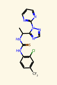 CC(NC(=S)Nc1ccc(C(F)(F)F)cc1Cl)c1ncnn1-c1ncccn1